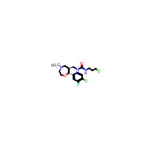 O=C(NCCCCl)NC[C@@H]1CN(C(=O)O)CCO[C@H]1c1ccc(Cl)c(F)c1